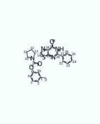 Cc1cccc(OC(=O)N2CCC[C@@H]2c2nc3c(=O)[nH]c(-c4ccccc4)nc3s2)c1